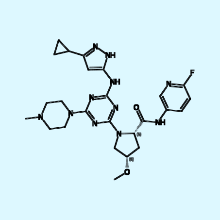 CO[C@H]1C[C@@H](C(=O)Nc2ccc(F)nc2)N(c2nc(Nc3cc(C4CC4)n[nH]3)nc(N3CCN(C)CC3)n2)C1